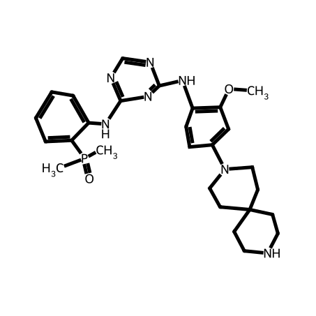 COc1cc(N2CCC3(CCNCC3)CC2)ccc1Nc1ncnc(Nc2ccccc2P(C)(C)=O)n1